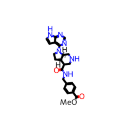 COC(=O)c1ccc(CNC(=O)C2CNC[C@H]3[C@@H]2CCN3c2ncnc3[nH]ccc23)cc1